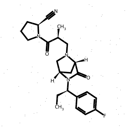 CC[C@H](c1ccc(F)cc1)N1C(=O)[C@@H]2C[C@H]1CN2C[C@H](C)C(=O)N1CCC[C@H]1C#N